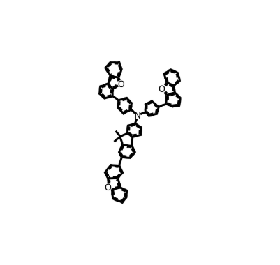 CC1(C)c2cc(-c3ccc4oc5ccccc5c4c3)ccc2-c2ccc(N(c3ccc(-c4cccc5c4oc4ccccc45)cc3)c3ccc(-c4cccc5c4oc4ccccc45)cc3)cc21